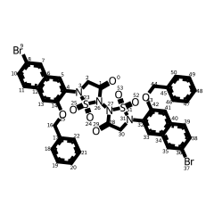 O=C1CN(c2cc3cc(Br)ccc3cc2OCc2ccccc2)S(=O)(=O)N1N1C(=O)CN(c2cc3cc(Br)ccc3cc2OCc2ccccc2)S1(=O)=O